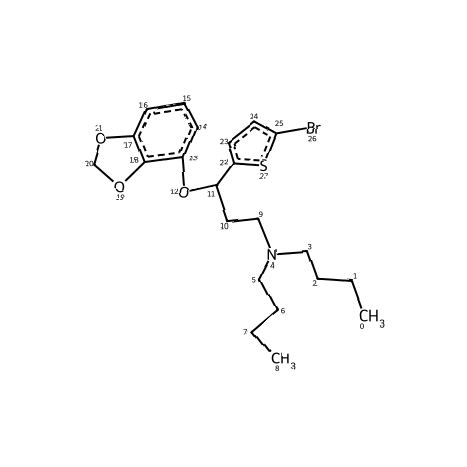 CCCCN(CCCC)CCC(Oc1cccc2c1OCO2)c1ccc(Br)s1